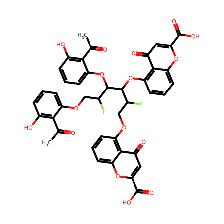 CC(=O)c1c(O)cccc1OCC(F)C(Oc1cccc(O)c1C(C)=O)C(Oc1cccc2oc(C(=O)O)cc(=O)c12)C(F)COc1cccc2oc(C(=O)O)cc(=O)c12